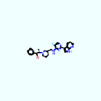 C[C@H](C(=O)c1ccccc1)N1CCCC(CNc2nc(-c3c[nH]c4ncccc34)ncc2F)C1